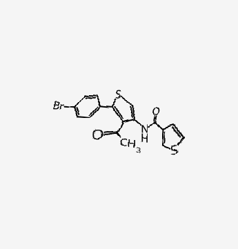 CC(=O)c1c(NC(=O)c2ccsc2)csc1-c1ccc(Br)cc1